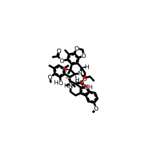 CC[C@H](O)N1[C@@H]([C@H](c2c(C)cc(C)c(OC)c2O)N(C)C)[C@@H]2SC[C@]3(NCCc4c3[nH]c3ccc(OC)cc43)C(=O)OC[C@H]1c1c3c(c(C)c(OC(C)=O)c12)OCO3